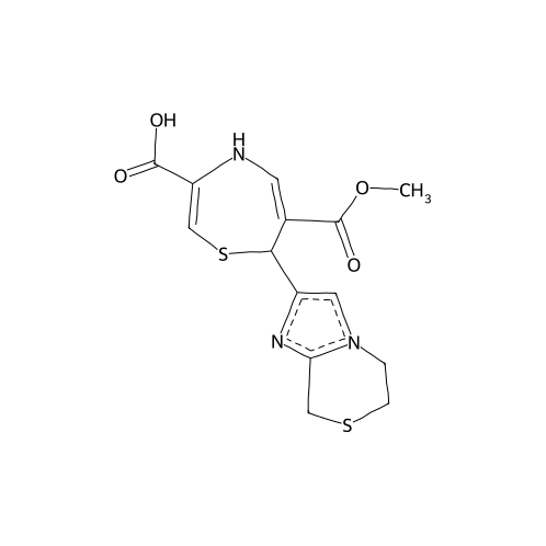 COC(=O)C1=CNC(C(=O)O)=CSC1c1cn2c(n1)CSCC2